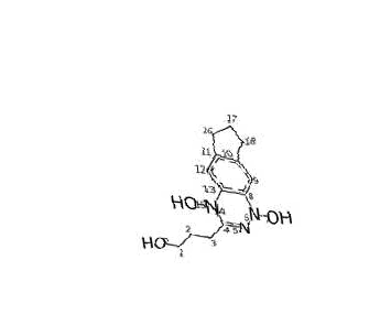 OCCCC1=NN(O)c2cc3c(cc2N1O)CCC3